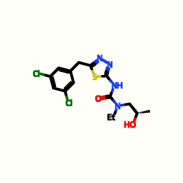 CCN(C[C@H](C)O)C(=O)Nc1nnc(Cc2cc(Cl)cc(Cl)c2)s1